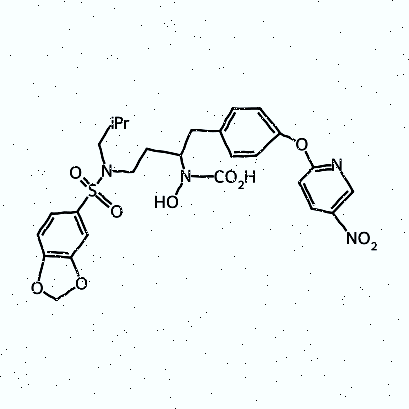 CC(C)CN(CCC(Cc1ccc(Oc2ccc([N+](=O)[O-])cn2)cc1)N(O)C(=O)O)S(=O)(=O)c1ccc2c(c1)OCO2